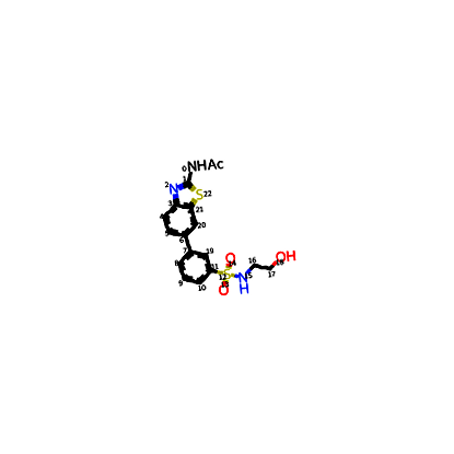 CC(=O)Nc1nc2ccc(-c3cccc(S(=O)(=O)NCCO)c3)cc2s1